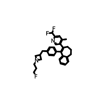 Cc1cc(C(F)F)ncc1C1=C(c2ccc(CC3CN(CCCF)C3)cc2)c2ccccc2CCC1